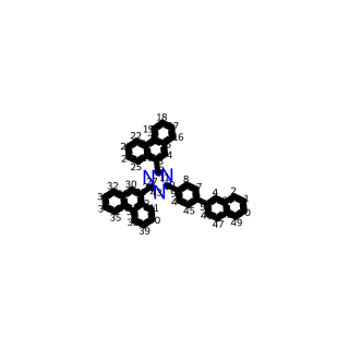 c1ccc2cc(-c3ccc(-c4nc(-c5cc6ccccc6c6ccccc56)nc(-c5cc6ccccc6c6ccccc56)n4)cc3)ccc2c1